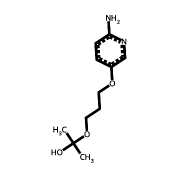 CC(C)(O)OCCCOc1ccc(N)nc1